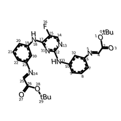 CC(C)(C)OC(=O)C=Nc1cccc(Nc2ncc(F)c(Nc3cccc(N=CC(=O)OC(C)(C)C)c3)n2)c1